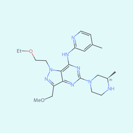 CCOCCn1nc(COC)c2nc(N3CCN[C@H](C)C3)nc(Nc3cc(C)ccn3)c21